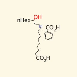 CCCCCCC(O)C/C=C\CCCCCCCC(=O)O.O=C(O)c1ccccc1